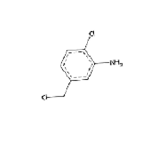 Nc1cc(CCl)ccc1Cl